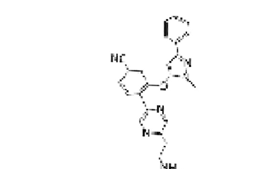 Cn1nc(-c2ccccc2)cc1Oc1cc(C#N)ccc1-c1cnc(CCN)cn1